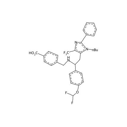 CCCCn1c(-c2ccccc2)nc(C(F)(F)F)c1CC(NCc1ccc(C(=O)O)cc1)c1ccc(OC(F)F)cc1